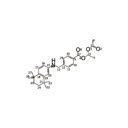 CC(=O)OC(C)OC(=O)c1ccc(CNc2ccc3c(c2)C(C)(C)CCC3(C)C)cc1